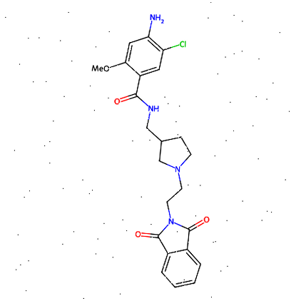 COc1cc(N)c(Cl)cc1C(=O)NCC1CCN(CCN2C(=O)c3ccccc3C2=O)C1